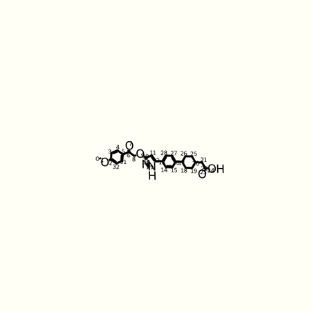 COc1ccc(C(=O)COc2cc(-c3ccc(C4CCC(CC(=O)O)CC4)cc3)[nH]n2)cc1